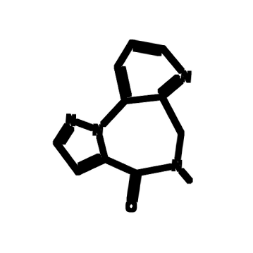 CN1Cc2ncccc2-n2nccc2C1=O